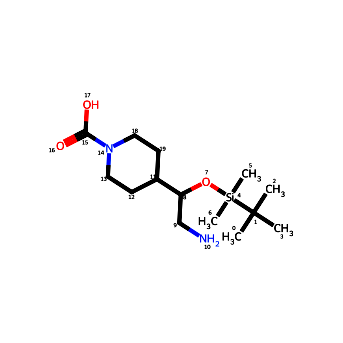 CC(C)(C)[Si](C)(C)OC(CN)C1CCN(C(=O)O)CC1